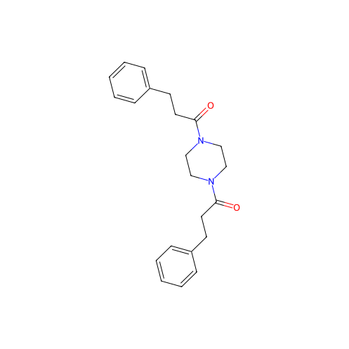 O=C(CCc1ccccc1)N1CCN(C(=O)CCc2ccccc2)CC1